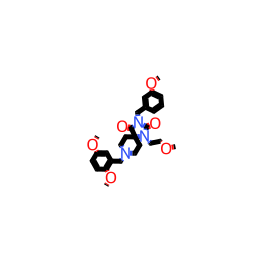 COCCN1C(=O)N(Cc2cccc(OC)c2)C(=O)C12CCN(Cc1cc(OC)ccc1OC)CC2